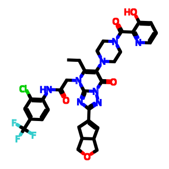 CCc1c(N2CCN(C(=O)c3ncccc3O)CC2)c(=O)n2nc(C3=CC4COCC4C3)nc2n1CC(=O)Nc1ccc(C(F)(F)F)cc1Cl